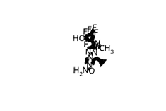 Cn1nc(-c2cc(C(F)(F)F)c(F)c(O)c2F)c2cnc(N3CCN(C(N)=O)CC3CC3CC3)nc21